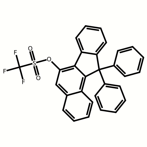 O=S(=O)(Oc1cc2ccccc2c2c1-c1ccccc1C2(c1ccccc1)c1ccccc1)C(F)(F)F